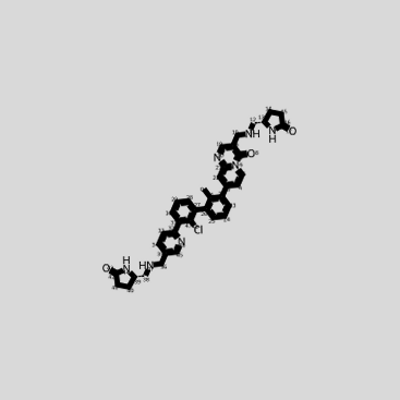 Cc1c(-c2ccn3c(=O)c(CNC[C@@H]4CCC(=O)N4)cnc3c2)cccc1-c1cccc(-c2ccc(CNC[C@@H]3CCC(=O)N3)cn2)c1Cl